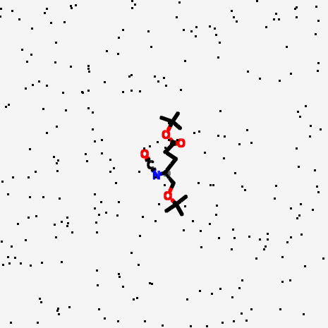 CC(C)(C)OC[C@H](CCC(=O)OC(C)(C)C)N=C=O